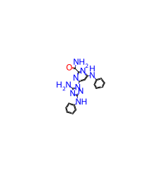 NC(=O)c1nc(Nc2ccccc2)cc(-n2nc(Nc3ccccc3)nc2N)n1